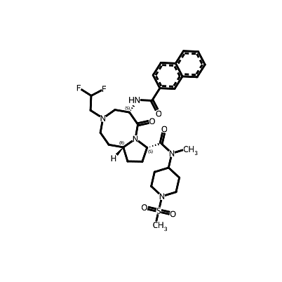 CN(C(=O)[C@@H]1CC[C@@H]2CCN(CC(F)F)C[C@H](NC(=O)c3ccc4ccccc4c3)C(=O)N21)C1CCN(S(C)(=O)=O)CC1